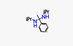 CC(C)NC(C)(NC(C)C)c1cc[c]cc1